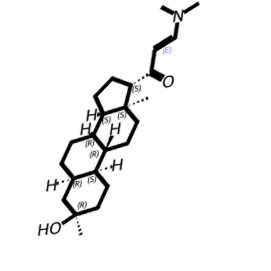 CN(C)/C=C/C(=O)[C@H]1CC[C@H]2[C@@H]3CC[C@@H]4C[C@](C)(O)CC[C@@H]4[C@H]3CC[C@]12C